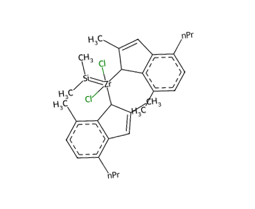 CCCc1ccc(C)c2c1C=C(C)[CH]2[Zr]([Cl])([Cl])([CH]1C(C)=Cc2c(CCC)ccc(C)c21)=[Si](C)C